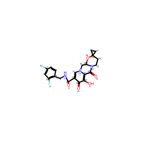 O=C(NCc1ccc(F)cc1F)c1cn2c(c(O)c1=O)C(=O)N1CCC3(CC3)OC1C2